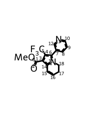 COC(=O)c1c(C(F)(F)F)c(-c2cccnc2)n2c1C=CCC2